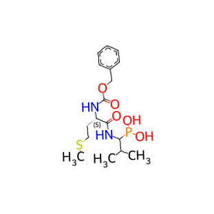 CSCC[C@H](NC(=O)OCc1ccccc1)C(=O)NC(C(C)C)P(O)O